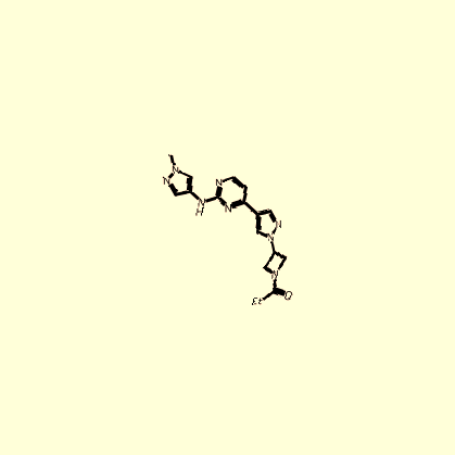 CCC(=O)N1CC(n2cc(-c3ccnc(Nc4cnn(C)c4)n3)cn2)C1